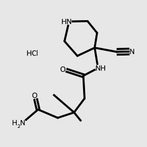 CC(C)(CC(N)=O)CC(=O)NC1(C#N)CCNCC1.Cl